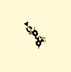 O=c1[nH]nc(Cc2ccc(F)c([PH]3(O)CCN(C4CC4)CC3)c2)c2ccc(F)cc12